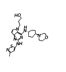 Cc1cc(Nc2nc(N[C@H]3CC[C@H](N4CCOCC4)CC3)c3c(ccn3CCCO)n2)sn1